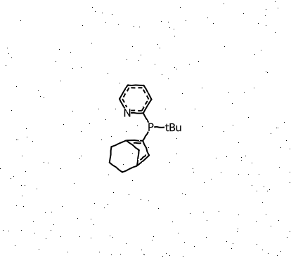 CC(C)(C)P(C1=C2CCCC(=C1)C2)c1ccccn1